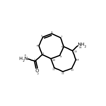 NC(=O)C1CC=CCC2CC1CCCCC2N